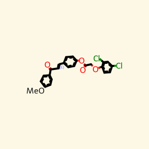 COc1ccc(C(=O)/C=C/c2ccc(OC(=O)COc3ccc(Cl)cc3Cl)cc2)cc1